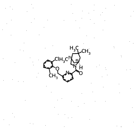 Cc1cccc(Cl)c1OCc1cccc(C(=O)N2C[C@]3(C)C[C@H]2CC(C)(C)C3)n1